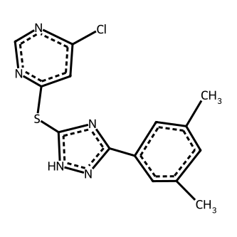 Cc1cc(C)cc(-c2n[nH]c(Sc3cc(Cl)ncn3)n2)c1